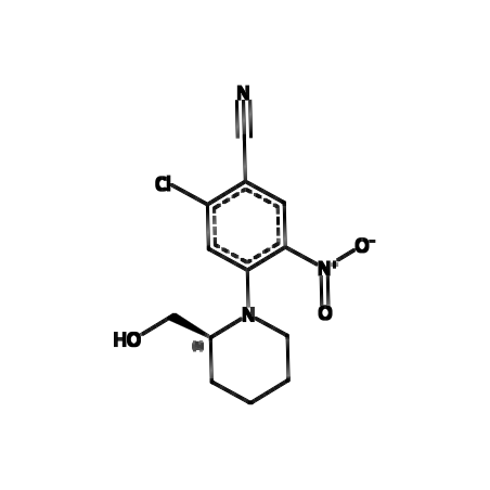 N#Cc1cc([N+](=O)[O-])c(N2CCCC[C@H]2CO)cc1Cl